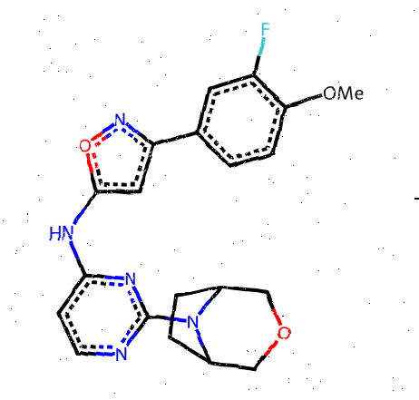 COc1ccc(-c2cc(Nc3ccnc(N4C5CCC4COC5)n3)on2)cc1F